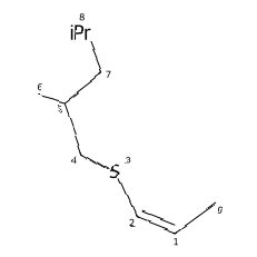 C/C=C\SCC(C)CC(C)C